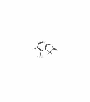 O=C1Nc2ccc(Cl)c([C@@H](O)C(F)(F)F)c2C1(F)F